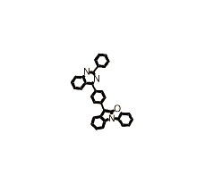 c1ccc(-c2nc(-c3ccc(-c4c5ccccc5n5c4oc4ccccc45)cc3)c3ccccc3n2)cc1